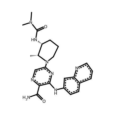 C[C@@H]1[C@H](NC(=O)N(C)C)CCCN1c1cnc(C(N)=O)c(Nc2ccc3cccnc3c2)n1